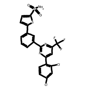 NS(=O)(=O)c1ccc(-c2cccc(-c3nc(-c4ccc(Cl)cc4Cl)cc(C(F)(F)F)n3)c2)s1